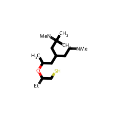 CCC(CS)OC(C)CC(CCNC)CC(C)(C)NC